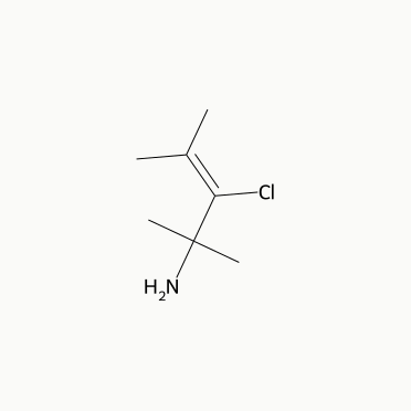 CC(C)=C(Cl)C(C)(C)N